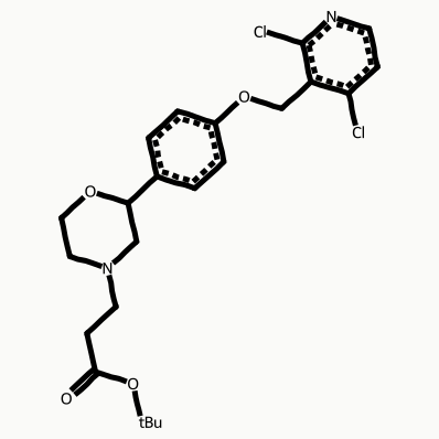 CC(C)(C)OC(=O)CCN1CCOC(c2ccc(OCc3c(Cl)ccnc3Cl)cc2)C1